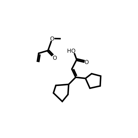 C=CC(=O)OC.O=C(O)C=C(C1CCCC1)C1CCCC1